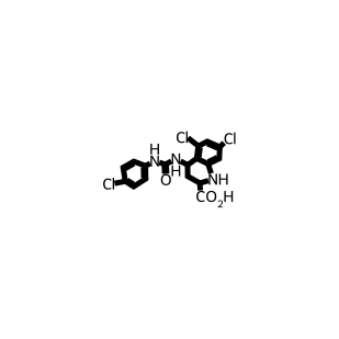 O=C(Nc1ccc(Cl)cc1)NC1CC(C(=O)O)Nc2cc(Cl)cc(Cl)c21